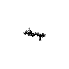 COC(=O)CC1NCCc2c1[nH]c1ccc(-c3noc(-c4cc(C#N)cc(OC(F)(F)F)c4)n3)cc21